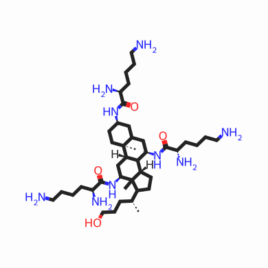 C[C@H](CCCO)C1CC[C@H]2C3[C@H](NC(=O)[C@@H](N)CCCCN)CC4C[C@H](NC(=O)[C@@H](N)CCCCN)CC[C@]4(C)[C@H]3C[C@H](NC(=O)[C@@H](N)CCCCN)C12C